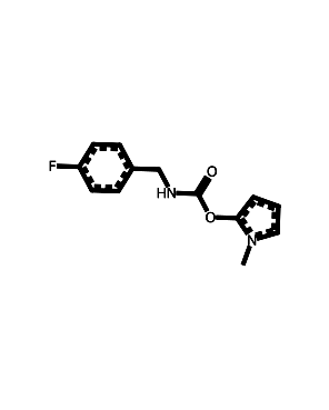 Cn1cccc1OC(=O)NCc1ccc(F)cc1